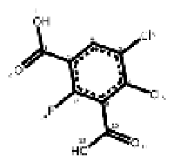 O=C(O)c1cc(Cl)c(Cl)c(C(=O)O)c1F